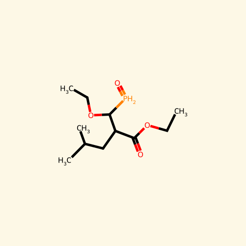 CCOC(=O)C(CC(C)C)C(OCC)[PH2]=O